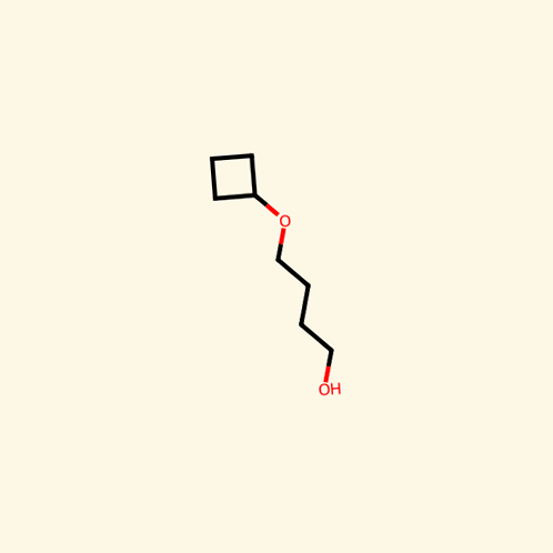 OCCCCOC1CCC1